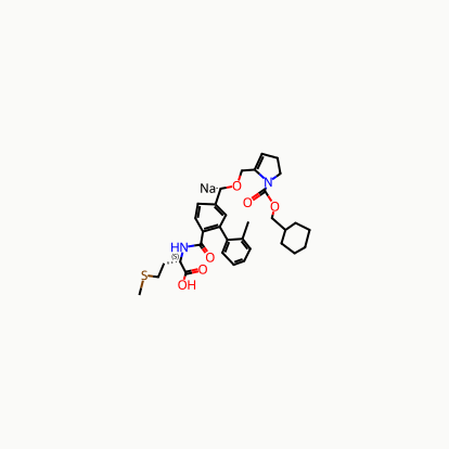 CSCC[C@H](NC(=O)c1ccc(COCC2=CCCN2C(=O)OCC2CCCCC2)cc1-c1ccccc1C)C(=O)O.[Na]